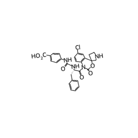 O=C(Nc1ccc(C(=O)O)cc1)N[C@@H](Cc1ccccc1)C(=O)N1C(=O)OC2(CCNC2)c2cc(Cl)ccc21